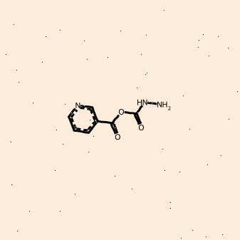 NNC(=O)OC(=O)c1cccnc1